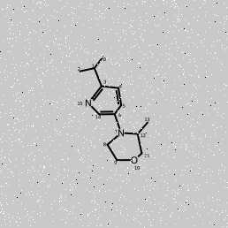 CC(C)c1ccc(N2CCOCC2C)cn1